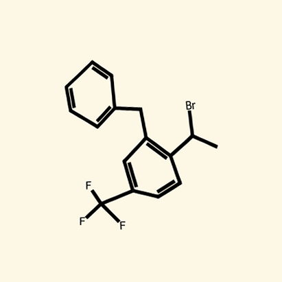 CC(Br)c1ccc(C(F)(F)F)cc1Cc1ccccc1